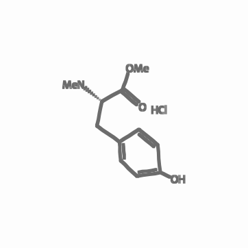 CN[C@@H](Cc1ccc(O)cc1)C(=O)OC.Cl